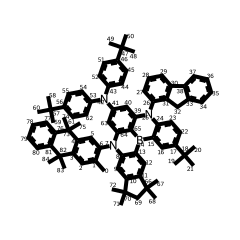 Cc1cc2c(cc1N1c3cc4c(cc3B3c5cc(C(C)(C)C)ccc5N(c5cccc6c5Cc5ccccc5-6)c5cc(N(c6ccc(C(C)(C)C)cc6)c6ccc(C(C)(C)C)cc6)cc1c53)C(C)(C)CC4(C)C)C(C)(C)c1ccccc1C2(C)C